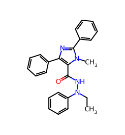 CCN(NC(=O)c1c(-c2ccccc2)nc(-c2ccccc2)n1C)c1ccccc1